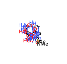 CNCCN(CCC(=O)N[C@H](C(=O)N[C@H](CCCN)C(=O)N[C@H]1CCNC(=O)[C@@H]([C@@H](C)O)NC(=O)[C@@H](CCN)NC(=O)[C@@H](CCN)NC(=O)[C@@H](CC(C)C)NC(=O)[C@@H](Cc2ccccc2)NC(=O)[C@@H](CCN)NC1=O)[C@@H](C)O)C(=O)n1nc(/C=C/c2ccccn2)c2ccc(Sc3ccccc3C(=O)NC)cc21